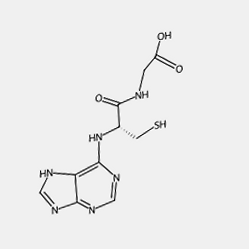 O=C(O)CNC(=O)[C@H](CS)Nc1ncnc2nc[nH]c12